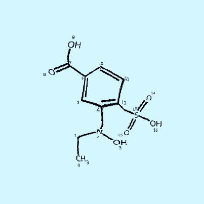 CCN(O)c1cc(C(=O)O)[c]cc1S(=O)(=O)O